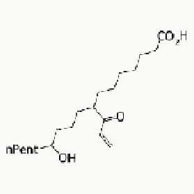 C=CC(=O)C(CCCCCCC(=O)O)CCCC(O)CCCCC